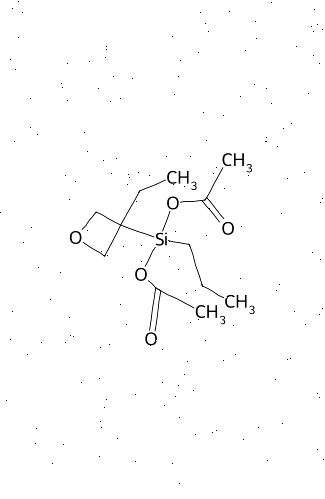 CCC[Si](OC(C)=O)(OC(C)=O)C1(CC)COC1